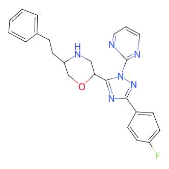 Fc1ccc(-c2nc(C3CNC(CCc4ccccc4)CO3)n(-c3ncccn3)n2)cc1